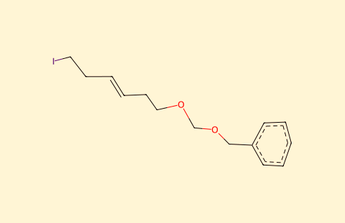 ICCC=CCCOCOCc1ccccc1